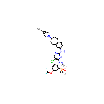 CP(C)(=O)c1cc(OC(F)F)ccc1Nc1nc(Nc2ccc3c(c2)CC[C@H](N2CC4C(C#N)C4C2)CC3)ncc1Cl